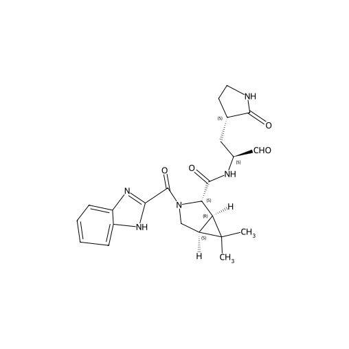 CC1(C)[C@@H]2[C@@H](C(=O)N[C@H](C=O)C[C@@H]3CCNC3=O)N(C(=O)c3nc4ccccc4[nH]3)C[C@@H]21